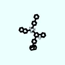 c1ccc(-c2ccc(-c3nc(-c4ccc5ccccc5c4)nc(-c4cc(-c5ccc(C67CC8CC(CC(C8)C6)C7)cc5)c5oc6ccccc6c5c4)n3)cc2)cc1